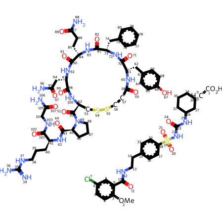 CC(=O)O.COc1ccc(Cl)cc1C(=O)NCCc1ccc(S(=O)(=O)NC(=O)NC2CCCCC2)cc1.N=C(N)NCCC[C@H](NC(=O)[C@@H]1CCCN1C(=O)[C@@H]1CSSCCC(=O)N[C@@H](Cc2ccc(O)cc2)C(=O)N[C@@H](Cc2ccccc2)C(=O)N[C@@H](CCC(N)=O)C(=O)N[C@@H](CC(N)=O)C(=O)N1)C(=O)NCC(N)=O